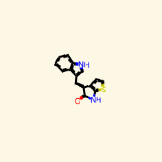 O=C1Nc2sccc2/C1=C\c1c[nH]c2ccccc12